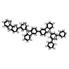 c1ccc(-c2cc(-n3c4ccccc4c4cc(-c5ccc6c(c5)c5ccccc5n6-c5cncc(-c6ccc7sc8cccnc8c7n6)c5)ccc43)cc(-c3ccccc3)n2)cc1